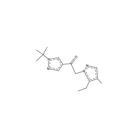 CCc1c(C)cnn1CC(=O)c1cnn(C(C)(C)C)c1